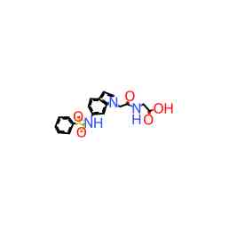 O=C(O)CNC(=O)Cn1ccc2ccc(NS(=O)(=O)c3ccccc3)cc21